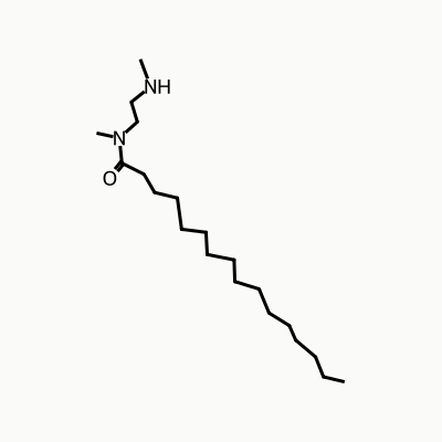 CCCCCCCCCCCCCCCC(=O)N(C)CCNC